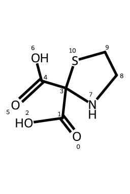 O=C(O)C1(C(=O)O)NCCS1